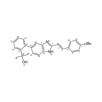 CC(C)(C)c1ccc(/C=C/c2nc3cc(-c4ccccc4C(C)(C)O)ccc3[nH]2)cc1